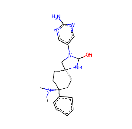 CN(C)[C@]1(c2ccccc2)CC[C@]2(CC1)CN(c1cnc(N)nc1)C(O)N2